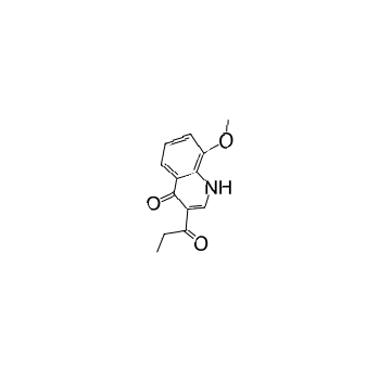 CCC(=O)c1c[nH]c2c(OC)cccc2c1=O